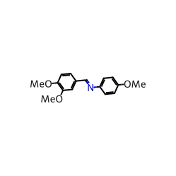 COc1ccc(N=Cc2ccc(OC)c(OC)c2)cc1